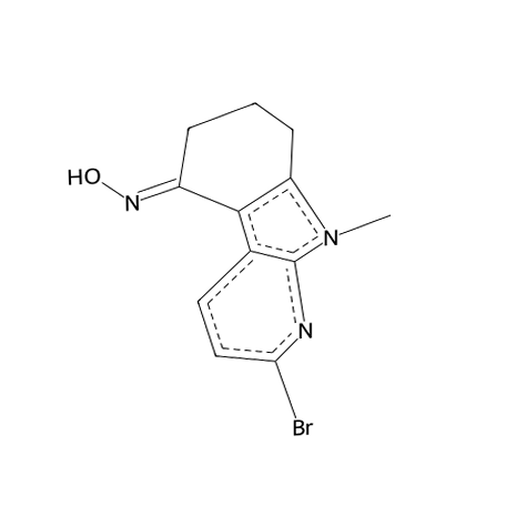 Cn1c2c(c3ccc(Br)nc31)C(=NO)CCC2